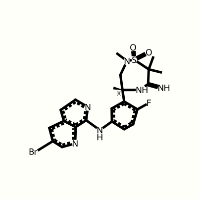 CN1C[C@@](C)(c2cc(Nc3nccc4cc(Br)cnc34)ccc2F)NC(=N)C(C)(C)S1(=O)=O